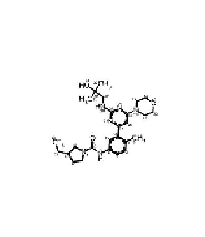 Cc1ccc(NC(=O)N2CC[C@@H](CC(F)(F)F)C2)cc1-c1cc(N2CCOCC2)nc(NCC(C)(C)O)n1